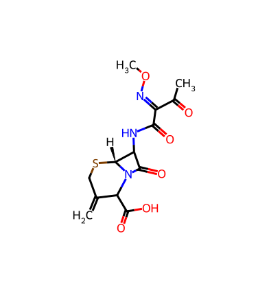 C=C1CS[C@@H]2C(NC(=O)C(=NOC)C(C)=O)C(=O)N2C1C(=O)O